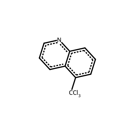 ClC(Cl)(Cl)c1cccc2ncccc12